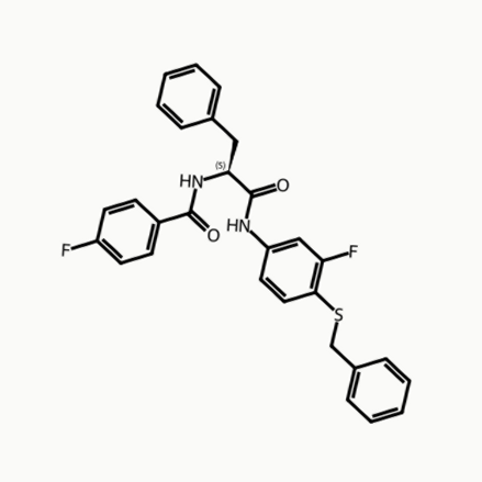 O=C(N[C@@H](Cc1ccccc1)C(=O)Nc1ccc(SCc2ccccc2)c(F)c1)c1ccc(F)cc1